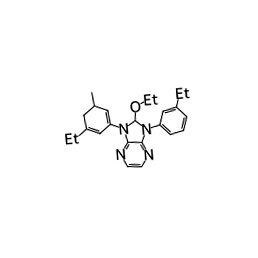 CCOC1N(C2=CC(C)CC(CC)=C2)c2nccnc2N1c1cccc(CC)c1